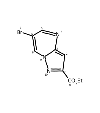 CCOC(=O)c1cc2ncc(Br)cn2n1